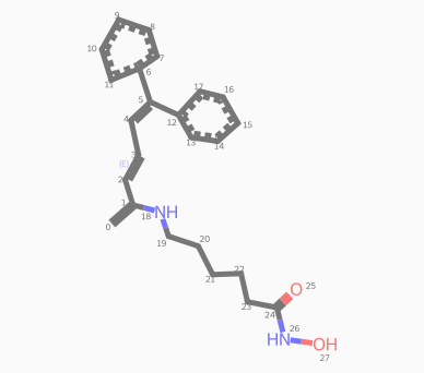 C=C(/C=C/C=C(c1ccccc1)c1ccccc1)NCCCCCC(=O)NO